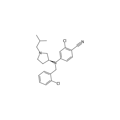 CC(C)CN1CC[C@H](N(Cc2ccccc2Cl)c2ccc(C#N)c(Cl)c2)C1